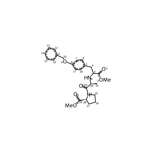 COC(=O)C(Cc1ccc(OCc2ccccc2)cc1)N[C@@H](C)C(=O)N1CCC[C@H]1C(=O)OC